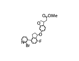 COC(=O)CC1COc2cc(O[C@@H]3CCc4c(-c5cccnc5Br)ccc(F)c43)ccc21